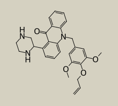 C=CCOc1c(OC)cc(Cn2c3ccccc3c(=O)c3c(C4CNCCN4)cccc32)cc1OC